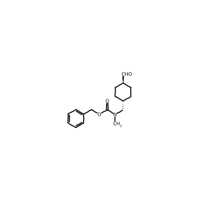 CN(C[C@H]1CC[C@H](C=O)CC1)C(=O)OCc1ccccc1